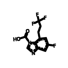 O=C(O)n1cnc2cc(F)cc(CCC(F)(F)F)c21